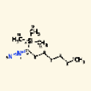 CCCCCCC(=[N+]=[N-])[Si](C)(C)C